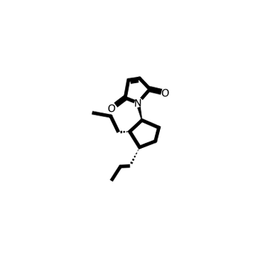 CCC[C@H]1CC[C@H](N2C(=O)C=CC2=O)[C@H]1CCC